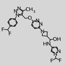 Cc1nnn(-c2ccc(C(F)F)cc2)c1COc1ccc(N2CC(C(O)Nc3cnn(C(F)F)c3)C2)nn1